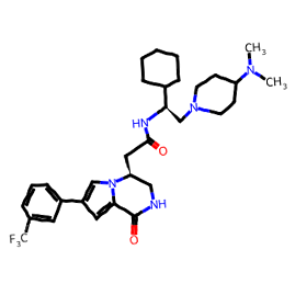 CN(C)C1CCN(C[C@@H](NC(=O)C[C@H]2CNC(=O)c3cc(-c4cccc(C(F)(F)F)c4)cn32)C2CCCCC2)CC1